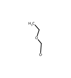 CCOC[O]